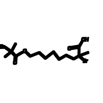 CC(C)(Br)C(=O)OCCCCCCCC(C)(Br)C(=O)O